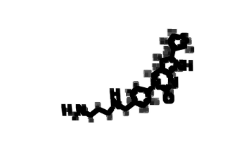 NCCCNCc1ccc(-n2cc3cc(-c4ccsc4)[nH]c3nc2=O)cc1